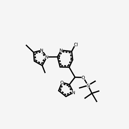 Cc1cc(C)n(-c2cc(C(O[Si](C)(C)C(C)(C)C)c3ncco3)cc(Cl)n2)n1